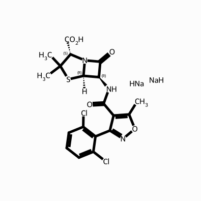 Cc1onc(-c2c(Cl)cccc2Cl)c1C(=O)N[C@@H]1C(=O)N2[C@@H]1SC(C)(C)[C@@H]2C(=O)O.[NaH].[NaH]